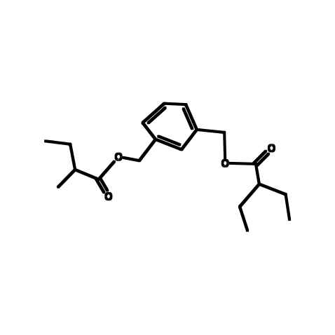 CCC(C)C(=O)OCc1cccc(COC(=O)C(CC)CC)c1